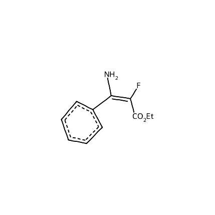 CCOC(=O)/C(F)=C(/N)c1ccccc1